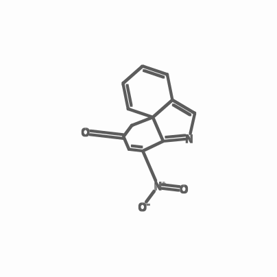 O=C1C=C([N+](=O)[O-])C2=NC=C3C=CC=CC32C1